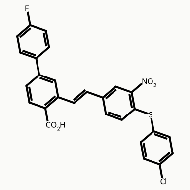 O=C(O)c1ccc(-c2ccc(F)cc2)cc1C=Cc1ccc(Sc2ccc(Cl)cc2)c([N+](=O)[O-])c1